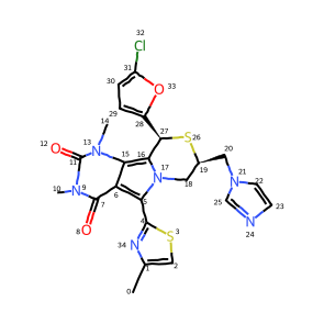 Cc1csc(-c2c3c(=O)n(C)c(=O)n(C)c3c3n2C[C@H](Cn2ccnc2)S[C@@H]3c2ccc(Cl)o2)n1